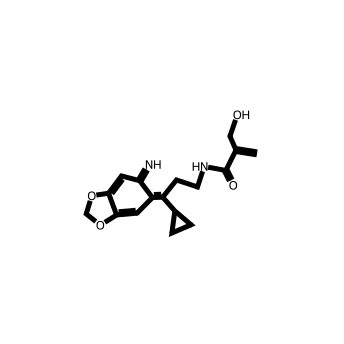 C=C(CO)C(=O)NCC/C(=C1/C=C2OCOC2=CC1=N)C1CC1